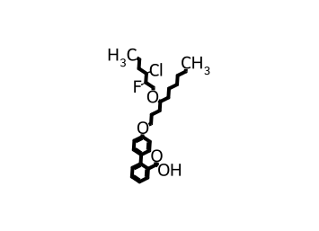 CCCCCCC(CCCOc1ccc(-c2ccccc2C(=O)O)cc1)OC[C@H](F)[C@@H](Cl)CCC